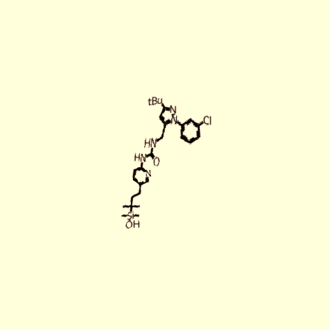 CC(C)(C)c1cc(CNC(=O)Nc2ccc(CCC(C)(C)[Si](C)(C)O)cn2)n(-c2cccc(Cl)c2)n1